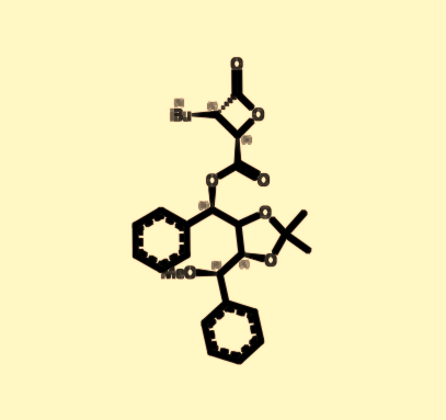 CC[C@H](C)[C@@H]1C(=O)O[C@H]1C(=O)O[C@H](c1ccccc1)C1OC(C)(C)O[C@H]1[C@H](OC)c1ccccc1